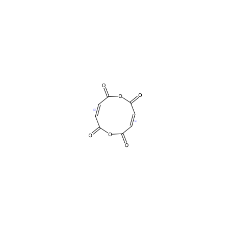 O=C1/C=C\C(=O)OC(=O)/C=C\C(=O)O1